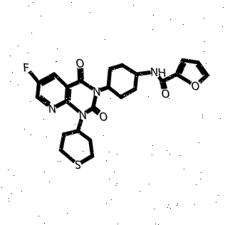 O=C(NC1CCC(n2c(=O)c3cc(F)cnc3n(C3CCSCC3)c2=O)CC1)c1ccco1